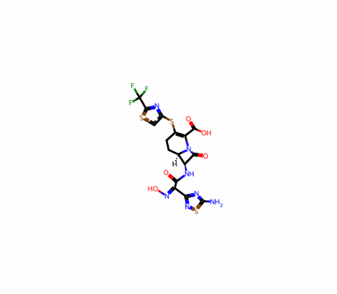 Nc1nc(/C(=N/O)C(=O)N[C@@H]2C(=O)N3C(C(=O)O)=C(Sc4csc(C(F)(F)F)n4)CC[C@H]23)ns1